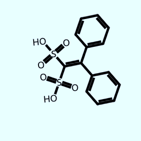 O=S(=O)(O)C(=C(c1ccccc1)c1ccccc1)S(=O)(=O)O